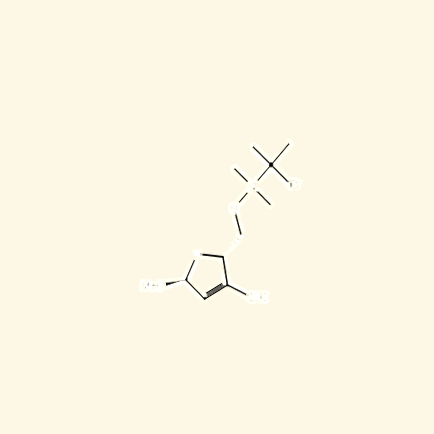 CO[C@@H]1C=C(C=O)[C@@H](CO[Si](C)(C)C(C)(C)C(C)C)O1